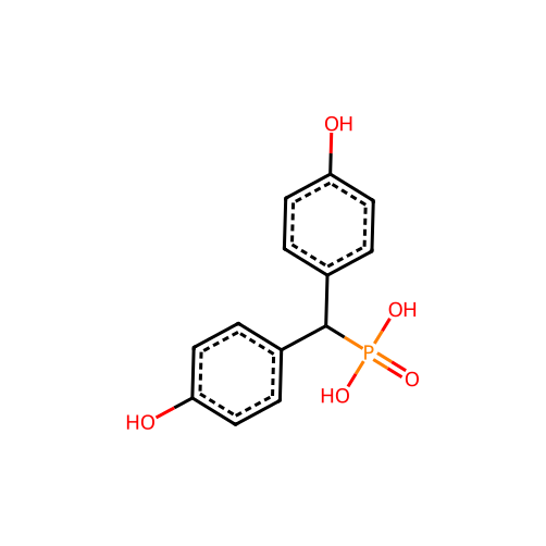 O=P(O)(O)C(c1ccc(O)cc1)c1ccc(O)cc1